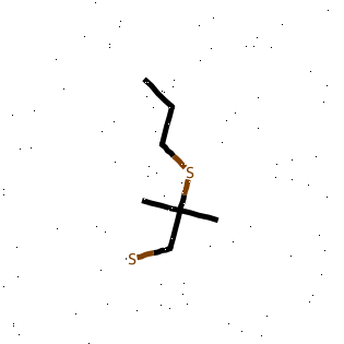 CCCSC(C)(C)C[S]